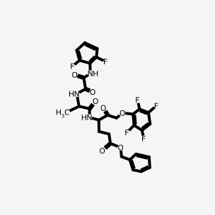 CC(NC(=O)C(=O)Nc1c(F)cccc1F)C(=O)NC(CCC(=O)OCc1ccccc1)C(=O)COc1c(F)c(F)cc(F)c1F